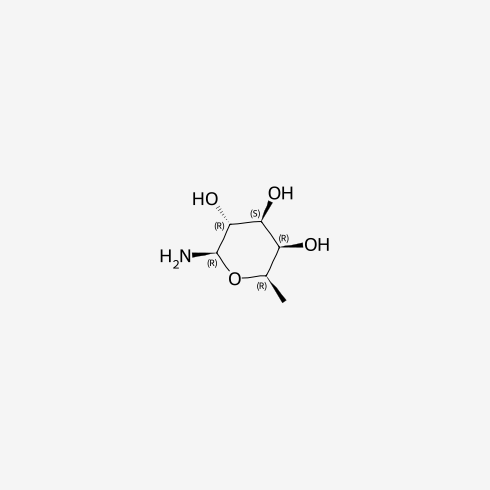 C[C@H]1O[C@@H](N)[C@H](O)[C@@H](O)[C@H]1O